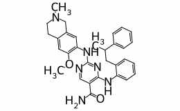 COc1cc2c(cc1Nc1ncc(C(N)=O)c(Nc3ccccc3CC(C)c3ccccc3)n1)CN(C)CC2